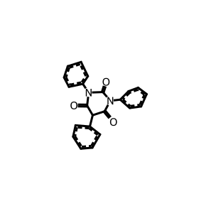 O=C1C(c2ccccc2)C(=O)N(c2ccccc2)C(=O)N1c1ccccc1